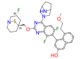 COCCc1cccc2cc(O)cc(-c3c(F)cc4c(N5CC6CCC(C5)N6)nc(OC[C@]56CCCN(C[C@H](F)C5)S6)nc4c3F)c12